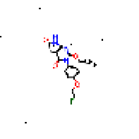 O=C1Cc2c(nc(OCC(F)(F)F)n(-c3ccc(OCCF)cc3)c2=O)N1